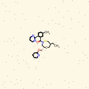 CCC1CC[C@H](COc2ccccn2)CN(C(=O)c2cc(C)ccc2-c2ncccn2)SC1